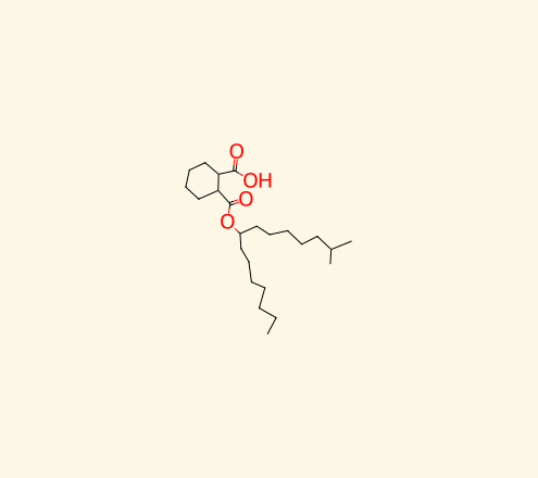 CCCCCCCC(CCCCCC(C)C)OC(=O)C1CCCCC1C(=O)O